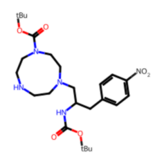 CC(C)(C)OC(=O)NC(Cc1ccc([N+](=O)[O-])cc1)CN1CCNCCN(C(=O)OC(C)(C)C)CC1